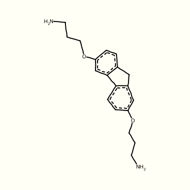 NCCCOc1ccc2c(c1)Cc1ccc(OCCCN)cc1-2